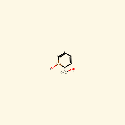 O=CO.[O-][S+]1C=CC=CC1